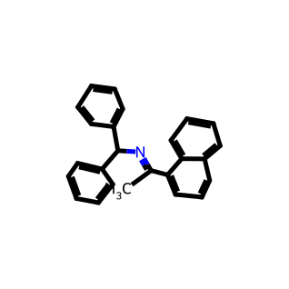 CC(=NC(c1ccccc1)c1ccccc1)c1cccc2ccccc12